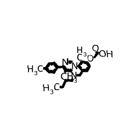 CCCCN(Cc1ccc(OCC(=O)O)c(C)c1)c1ncnc(-c2ccc(C)cc2)c1C